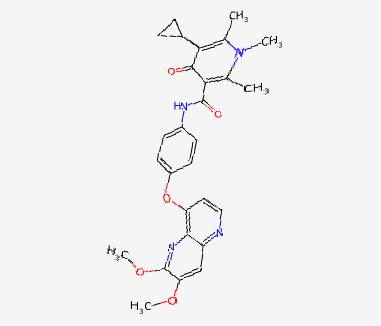 COc1cc2nccc(Oc3ccc(NC(=O)c4c(C)n(C)c(C)c(C5CC5)c4=O)cc3)c2nc1OC